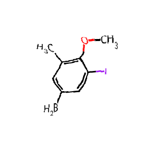 Bc1cc(C)c(OC)c(I)c1